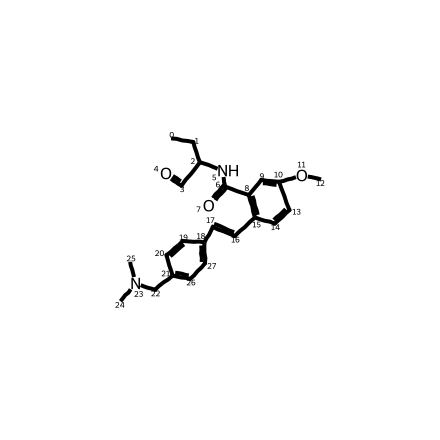 CCC(C=O)NC(=O)c1cc(OC)ccc1C=Cc1ccc(CN(C)C)cc1